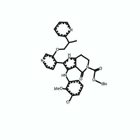 COc1c(Cl)cccc1Nc1c(-c2ccncc2OCC(C)c2ccccn2)[nH]c2c1C(=O)N(C(=O)OC(C)(C)C)CC2